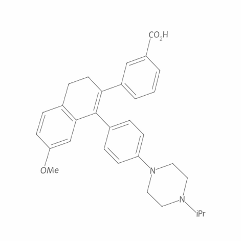 COc1ccc2c(c1)C(c1ccc(N3CCN(C(C)C)CC3)cc1)=C(c1cccc(C(=O)O)c1)CC2